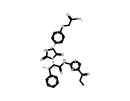 CCC(=O)c1csc(NC(=O)[C@H]([C@@H](C)c2ccccc2)N2C(=O)N[C@H](c3ccc(OCC(N)=O)cc3)C2=O)n1